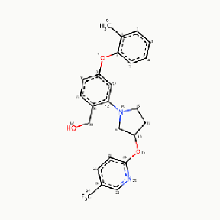 Cc1ccccc1Oc1ccc(CO)c(N2CCC(Oc3ccc(C(F)(F)F)cn3)C2)c1